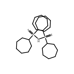 S=P(NP(=S)(C1CCCCCC1)C1CCCCCC1)(C1CCCCCC1)C1CCCCCC1